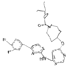 CC(C)OC(=O)N1CCC(Oc2cc(Nc3nc(-c4ccc(F)c(F)c4)cs3)ncn2)CC1